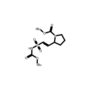 CC(C)(C)OC(=O)NS(=O)(=O)C=CC1CCCN1C(=O)OC(C)(C)C